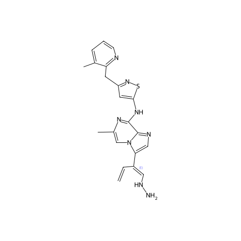 C=C/C(=C\NN)c1cnc2c(Nc3cc(Cc4ncccc4C)ns3)nc(C)cn12